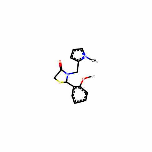 CCOc1ccccc1C1SCC(=O)N1Cc1cccn1C